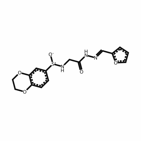 O=C(CN[S+]([O-])c1ccc2c(c1)OCCO2)N/N=C/c1ccco1